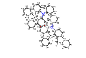 CC1(C)c2ccccc2-c2ccc3c(c21)C1(C)c2ccccc2-c2cccc(c21)N3c1ccccc1-c1cccc2c1-n1c3ccccc3c3cccc(c31)C21c2ccccc2-c2ccccc21